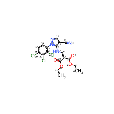 CCOC(=O)C(=CNc1c(C#N)cnn1-c1ccc(Cl)c(Cl)c1Cl)C(=O)OCC